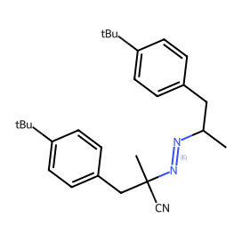 CC(Cc1ccc(C(C)(C)C)cc1)/N=N/C(C)(C#N)Cc1ccc(C(C)(C)C)cc1